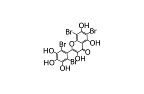 O=c1c(O)c(-c2c(Br)c(O)c(O)c(O)c2Br)oc2c(Br)c(O)c(Br)c(O)c12